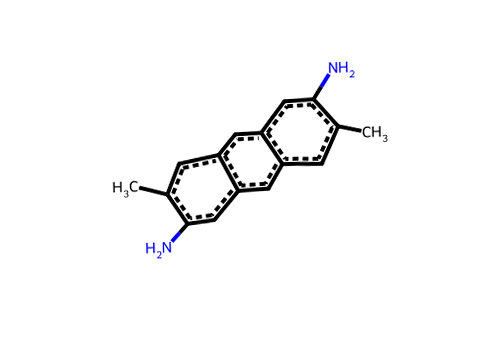 Cc1cc2cc3cc(N)c(C)cc3cc2cc1N